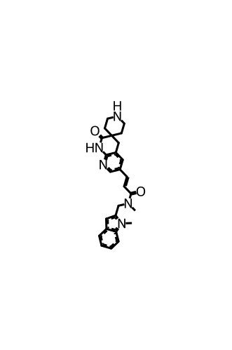 CN(Cc1cc2ccccc2n1C)C(=O)/C=C/c1cnc2c(c1)CC1(CCNCC1)C(=O)N2